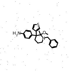 COC1(C)N(Cc2ccccc2)CCCC1(c1ccc(N)cc1)c1ccsc1